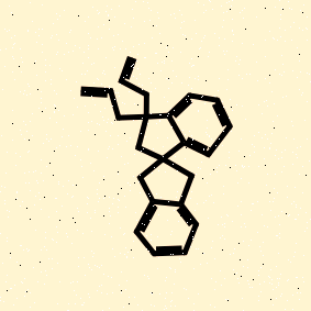 C=CCC1(CC=C)CC2(Cc3ccccc3C2)c2ccccc21